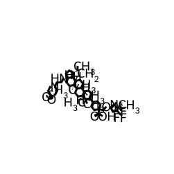 C=C(C)[C@H]1CC[C@@]2(NCCN3CCS(=O)(=O)CC3)CC[C@@]3(C)[C@@H](CC[C@H]4[C@]5(C)CC=C(C6=CCC(COc7cc(C(F)(F)F)n(C)n7)(C(=O)O)CC6)C(C)(C)[C@H]5CC[C@@]43C)[C@H]12